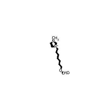 Cn1cc[n+](CCCCCCCOC=O)c1